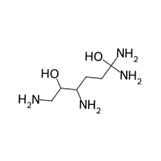 NCC(O)C(N)CCC(N)(N)O